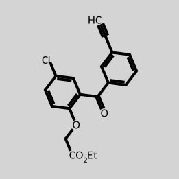 C#Cc1cccc(C(=O)c2cc(Cl)ccc2OCC(=O)OCC)c1